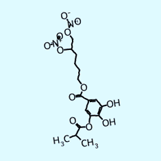 CC(C)C(=O)Oc1cc(C(=O)OCCCCC(CO[N+](=O)[O-])O[N+](=O)[O-])cc(O)c1O